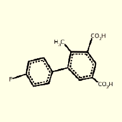 Cc1c(C(=O)O)cc(C(=O)O)cc1-c1ccc(F)cc1